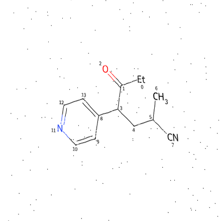 CCC(=O)C(CC(C)C#N)c1ccncc1